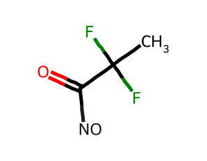 CC(F)(F)C(=O)N=O